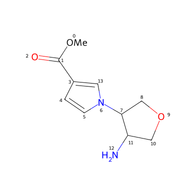 COC(=O)c1ccn(C2COCC2N)c1